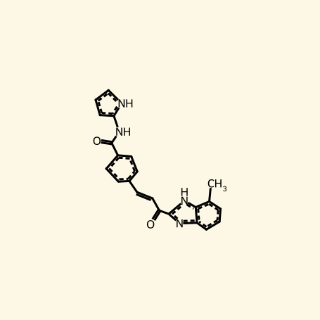 Cc1cccc2nc(C(=O)C=Cc3ccc(C(=O)Nc4ccc[nH]4)cc3)[nH]c12